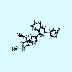 Cn1cc(-c2cc3nccnc3c(-c3cnn(C4(CC#N)CN(CC#N)C4)c3)n2)cn1